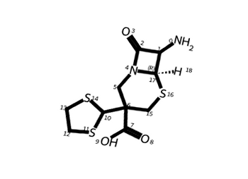 NC1C(=O)N2CC(C(=O)O)(C3SCCS3)CS[C@H]12